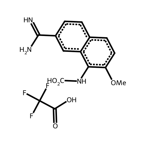 COc1ccc2ccc(C(=N)N)cc2c1NC(=O)O.O=C(O)C(F)(F)F